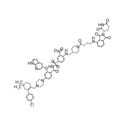 CC1(C)CCC(CN2CCN(c3ccc(C(=O)NS(=O)(=O)c4ccc(NCC5CCN(C(=O)CCCNc6cccc7c6C(=O)N(C6CCC(=O)NC6=O)C7=O)CC5)c([N+](=O)[O-])c4)c(Oc4cnc5[nH]ccc5c4)c3)CC2)=C(c2ccc(Cl)cc2)C1